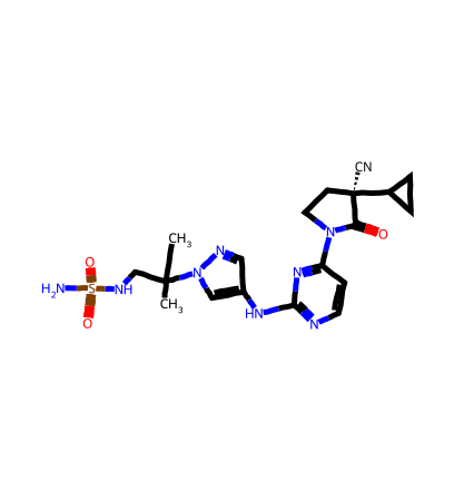 CC(C)(CNS(N)(=O)=O)n1cc(Nc2nccc(N3CC[C@@](C#N)(C4CC4)C3=O)n2)cn1